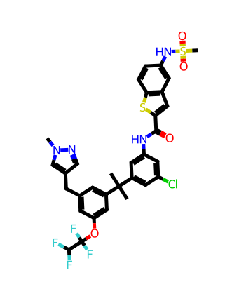 Cn1cc(Cc2cc(OC(F)(F)C(F)F)cc(C(C)(C)c3cc(Cl)cc(NC(=O)c4cc5cc(NS(C)(=O)=O)ccc5s4)c3)c2)cn1